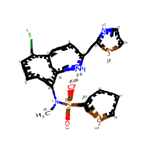 CN(c1ccc(F)c2cc(-c3nccs3)[nH]c12)S(=O)(=O)c1cccs1